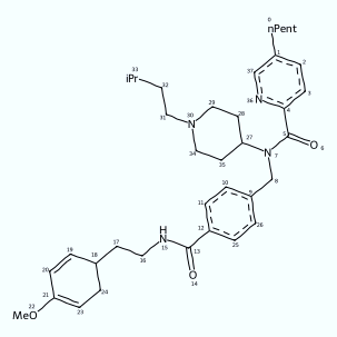 CCCCCc1ccc(C(=O)N(Cc2ccc(C(=O)NCCC3C=CC(OC)=CC3)cc2)C2CCN(CCC(C)C)CC2)nc1